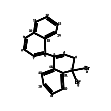 BrC1(Br)CC=C(c2cccc3ccccc23)c2ccccc21